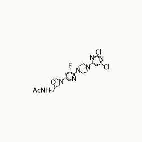 CC(=O)NCC1CN(c2cnc(N3CCN(c4cc(Cl)nc(Cl)n4)CC3)c(F)c2)CO1